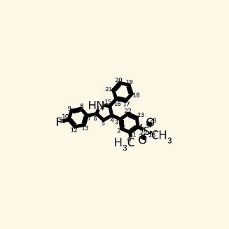 Cc1cc(C2CC(c3ccc(F)cc3)NC2c2ccccc2)ccc1S(C)(=O)=O